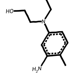 CCN(CCO)c1ccc(C)c(N)c1